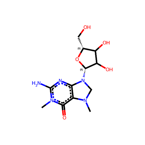 CN1CN([C@@H]2O[C@H](CO)C(O)C2O)c2nc(N)n(C)c(=O)c21